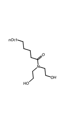 CCCCCCCCCCCCC(=O)N(CCO)CCO